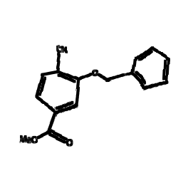 COC(=O)c1ccc(C#N)c(OCc2ccccc2)c1